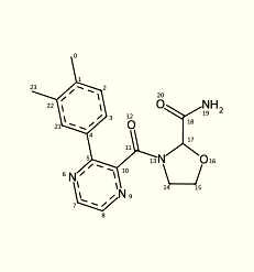 Cc1ccc(-c2nccnc2C(=O)N2CCOC2C(N)=O)cc1C